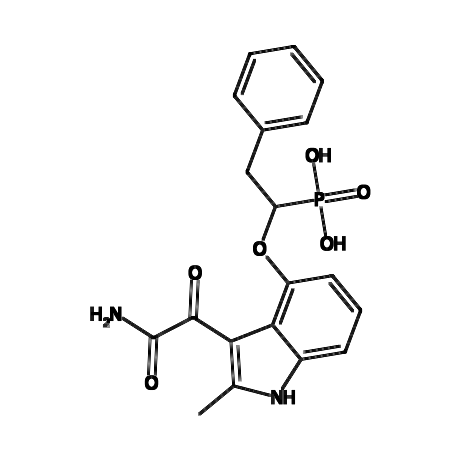 Cc1[nH]c2cccc(OC(Cc3ccccc3)P(=O)(O)O)c2c1C(=O)C(N)=O